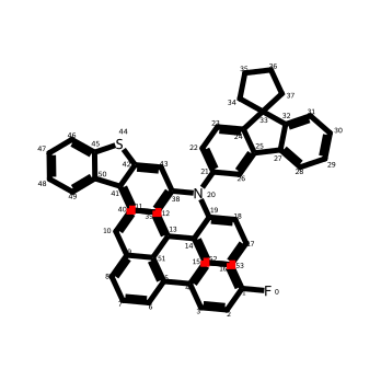 Fc1ccc(-c2cccc3cccc(-c4ccccc4N(c4ccc5c(c4)-c4ccccc4C54CCCC4)c4ccc5c(c4)sc4ccccc45)c23)cc1